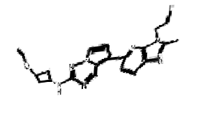 CCO[C@H]1C[C@H](Nc2ncc3c(-c4ccc5nc(C)n(CCF)c5n4)ccn3n2)C1